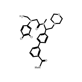 CNC(=O)c1cccc(-c2ccc(C(CN3CCOCC3)N(C)C(=O)CN(CN)c3ccc(Cl)c(Cl)c3)cc2)c1